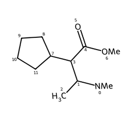 CNC(C)C(C(=O)OC)C1CCCC1